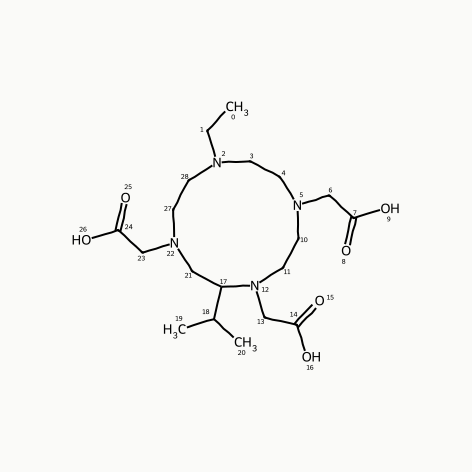 CCN1CCN(CC(=O)O)CCN(CC(=O)O)C(C(C)C)CN(CC(=O)O)CC1